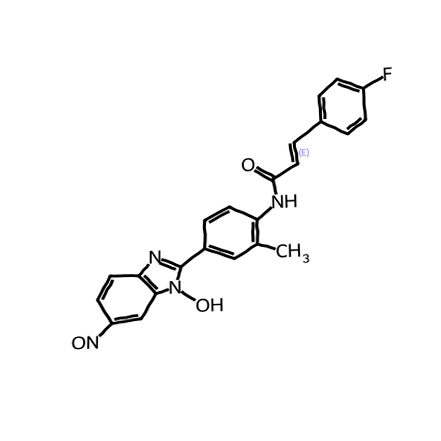 Cc1cc(-c2nc3ccc(N=O)cc3n2O)ccc1NC(=O)/C=C/c1ccc(F)cc1